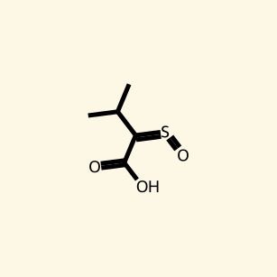 CC(C)C(=S=O)C(=O)O